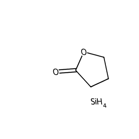 O=C1CCCO1.[SiH4]